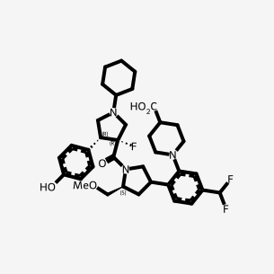 COC[C@@H]1CC(c2ccc(C(F)F)cc2N2CCC(C(=O)O)CC2)CN1C(=O)[C@]1(F)CN(C2CCCCC2)C[C@H]1c1ccc(O)cc1